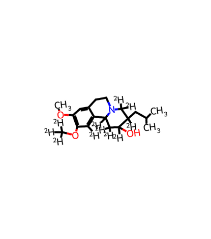 [2H]c1c(OC([2H])([2H])[2H])c(OC)cc2c1C1([2H])N(CC2)C([2H])([2H])C([2H])(CC(C)C)C([2H])(O)C1([2H])[2H]